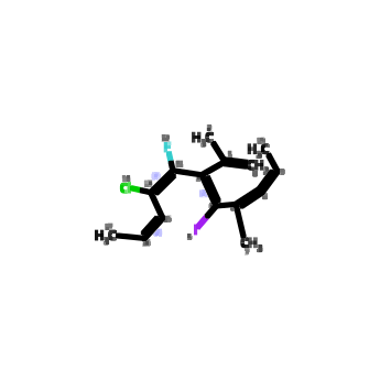 C=C(C)C(=C(/I)C(C)=C=CC)/C(F)=C(Cl)\C=C/C